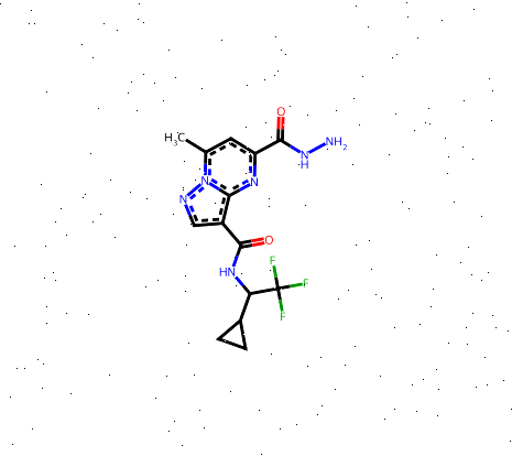 Cc1cc(C(=O)NN)nc2c(C(=O)NC(C3CC3)C(F)(F)F)cnn12